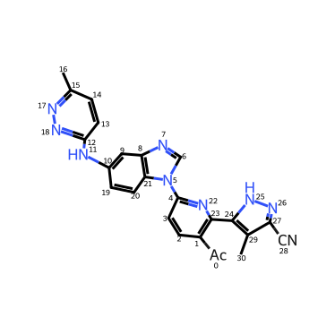 CC(=O)c1ccc(-n2cnc3cc(Nc4ccc(C)nn4)ccc32)nc1-c1[nH]nc(C#N)c1C